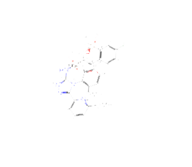 COc1cccc(-c2nnc(NS(=O)(=O)[C@@H](C)[C@@H](O)c3ccc(F)cc3S(C)(=O)=O)n2-c2c(OC)cccc2OC)n1